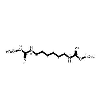 CCCCCCCCCCOC(=S)NCCCCCCNC(=S)OCCCCCCCCCC